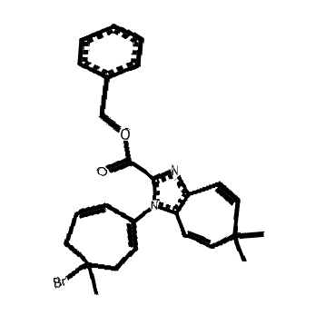 CC1(C)C=Cc2nc(C(=O)OCc3ccccc3)n(C3=CCC(C)(Br)CC=C3)c2C=C1